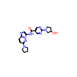 O=C(Nc1cnc2ccc(N3CCCC3)nn12)c1cnc(N2CCC(O)C2)nc1